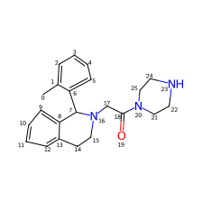 Cc1ccccc1C1c2ccccc2CCN1CC(=O)N1CCNCC1